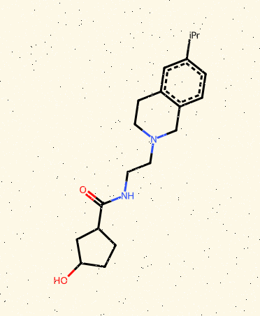 CC(C)c1ccc2c(c1)CCN(CCNC(=O)C1CCC(O)C1)C2